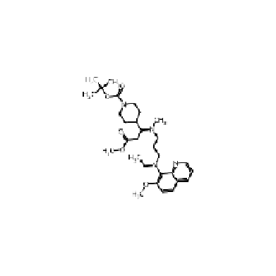 CCN(CCCN(C)C(CC(=O)OC)C1CCN(C(=O)OC(C)(C)C)CC1)c1c(OC)ccc2cccnc12